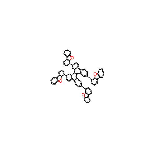 c1ccc2c(c1)oc1c(-c3ccc4c5ccc(-c6cccc7c6oc6ccccc67)cc5c5c6cc(-c7cccc8c7oc7ccccc78)ccc6c6ccc(-c7cccc8c7oc7ccccc78)cc6c5c4c3)cccc12